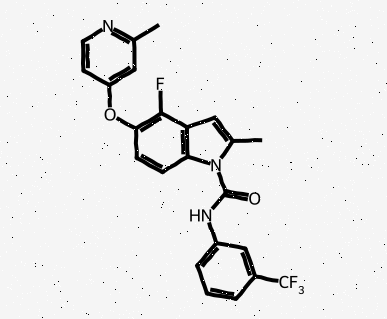 Cc1cc(Oc2ccc3c(cc(C)n3C(=O)Nc3cccc(C(F)(F)F)c3)c2F)ccn1